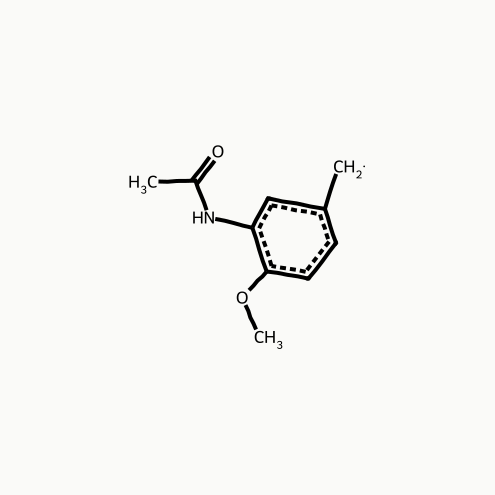 [CH2]c1ccc(OC)c(NC(C)=O)c1